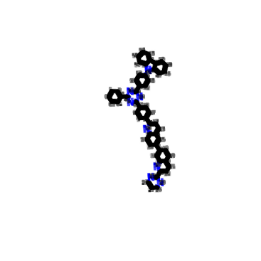 c1ccc(-c2nc(-c3ccc(-c4ccc5cc(-c6ccc7ccc(-c8ncccn8)nc7c6)ccc5n4)cc3)nc(-c3ccc(-n4c5ccccc5c5ccccc54)cc3)n2)cc1